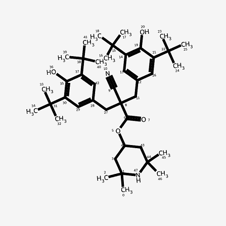 CC1(C)CC(OC(=O)C(C#N)(Cc2cc(C(C)(C)C)c(O)c(C(C)(C)C)c2)Cc2cc(C(C)(C)C)c(O)c(C(C)(C)C)c2)CC(C)(C)N1